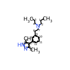 CCCN(CCC)CCc1cccc(-c2c(C)n[nH]c2C)c1